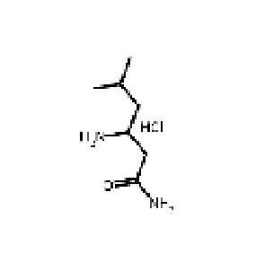 CC(C)CC(N)CC(N)=O.Cl